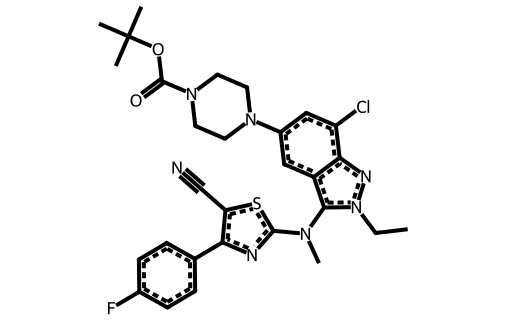 CCn1nc2c(Cl)cc(N3CCN(C(=O)OC(C)(C)C)CC3)cc2c1N(C)c1nc(-c2ccc(F)cc2)c(C#N)s1